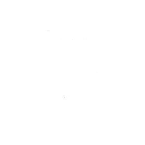 O=C=C(CCCCCn1cccc1)C(=O)O.[Ca]